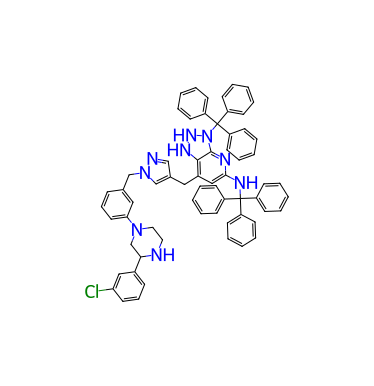 Clc1cccc(C2CN(c3cccc(Cn4cc(Cc5cc(NC(c6ccccc6)(c6ccccc6)c6ccccc6)nc6c5NNN6C(c5ccccc5)(c5ccccc5)c5ccccc5)cn4)c3)CCN2)c1